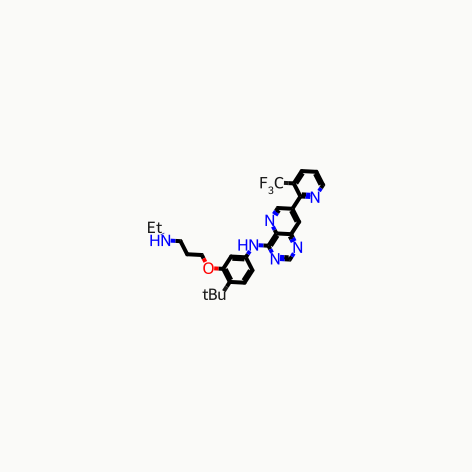 CCNCCCOc1cc(Nc2ncnc3cc(-c4ncccc4C(F)(F)F)cnc23)ccc1C(C)(C)C